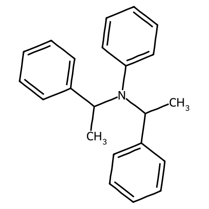 CC(c1ccccc1)N(c1ccccc1)C(C)c1ccccc1